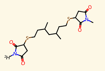 [2H]N1C(=O)CC(SCCC(C)CC(C)CCSC2CC(=O)N(C)C2=O)C1=O